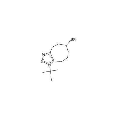 CC(C)(C)C1CCCc2c(nnn2C(C)(C)I)CC1